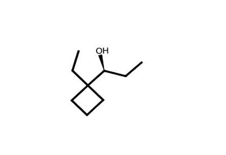 CC[C@H](O)C1(CC)CCC1